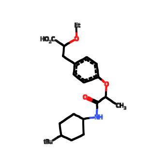 CCOC(Cc1ccc(OC(C)C(=O)NC2CCC(C(C)(C)C)CC2)cc1)C(=O)O